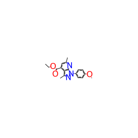 CCOC(=O)c1cc(C)nc2c1c(C)nn2-c1ccc(OC)cc1